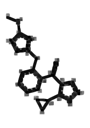 CSc1ncn(Cc2ccccc2C(=O)c2cnoc2C2CC2)n1